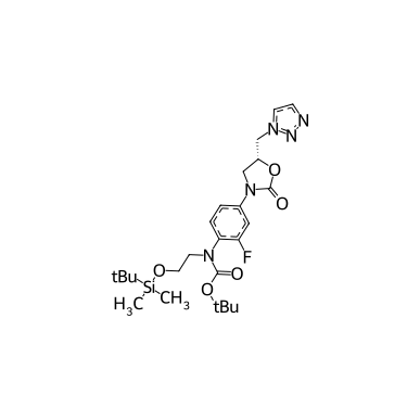 CC(C)(C)OC(=O)N(CCO[Si](C)(C)C(C)(C)C)c1ccc(N2C[C@H](Cn3ccnn3)OC2=O)cc1F